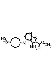 COC(=O)c1sc2nccc(NC3CCCC(BS)CCC3)c2c1N